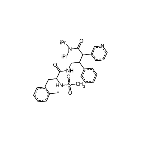 CC(C)N(C(=O)C(c1cccnc1)C(CNC(=O)C(Cc1ccccc1F)NS(C)(=O)=O)c1ccccc1)C(C)C